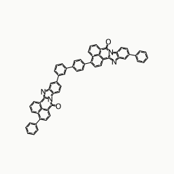 O=c1c2cccc3c(-c4ccc(-c5cccc(-c6ccc7c(c6)nc6c8cccc9c(-c%10ccccc%10)ccc(c(=O)n76)c98)c5)cc4)ccc(c32)c2nc3cc(-c4ccccc4)ccc3n12